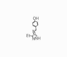 CCC1=NNCN1N=Cc1ccc(O)cc1